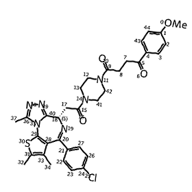 COc1ccc(C(=O)CCC(=O)N2CCN(C(=O)C[C@@H]3N=C(c4ccc(Cl)cc4)c4c(sc(C)c4C)-n4c(C)nnc43)CC2)cc1